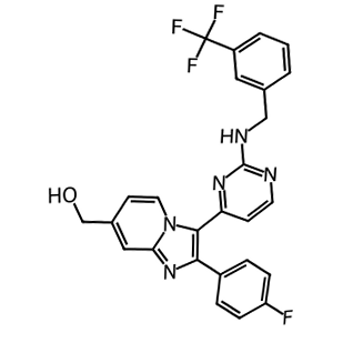 OCc1ccn2c(-c3ccnc(NCc4cccc(C(F)(F)F)c4)n3)c(-c3ccc(F)cc3)nc2c1